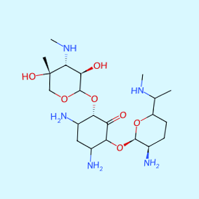 CNC(C)C1CC[C@@H](N)[C@@H](OC2C(=O)[C@@H](OC3OC[C@](C)(O)[C@H](NC)[C@H]3O)C(N)CC2N)O1